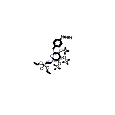 CCOP(=O)(/C=C/[C@H]1O[C@H](Cc2ccc(N=[N+]=[N-])cc2)[C@@H](O[Si](C)(C)C)[C@@H](O[Si](C)(C)C)[C@@H]1O[Si](C)(C)C)OCC